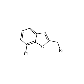 Clc1cccc2cc(CBr)oc12